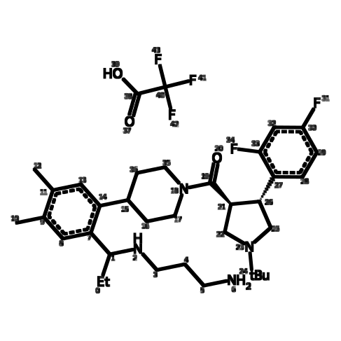 CCC(NCCCN)c1cc(C)c(C)cc1C1CCN(C(=O)[C@@H]2CN(C(C)(C)C)C[C@H]2c2ccc(F)cc2F)CC1.O=C(O)C(F)(F)F